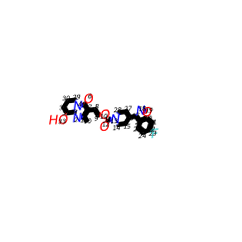 Cc1nc2n(c(=O)c1CCOC(=O)N1CCC(c3noc4cc(F)ccc34)CC1)CCCC2O